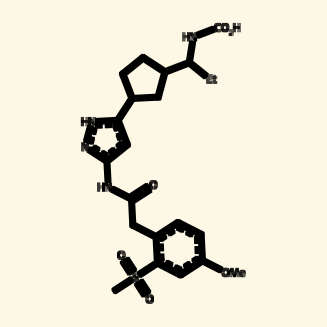 CCC(NC(=O)O)C1CCC(c2cc(NC(=O)Cc3ccc(OC)cc3S(C)(=O)=O)n[nH]2)C1